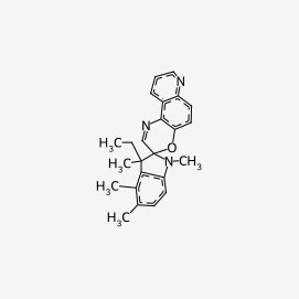 CCC1(C)c2c(ccc(C)c2C)N(C)C12C=Nc1c(ccc3ncccc13)O2